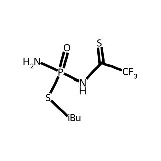 CCC(C)SP(N)(=O)NC(=S)C(F)(F)F